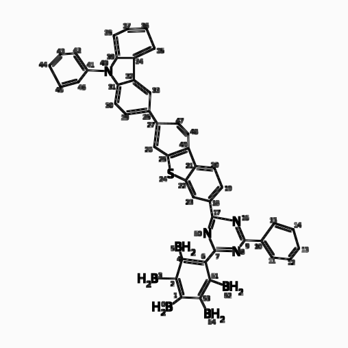 Bc1c(B)c(B)c(-c2nc(-c3ccccc3)nc(-c3ccc4c(c3)sc3cc(-c5ccc6c(c5)c5ccccc5n6-c5ccccc5)ccc34)n2)c(B)c1B